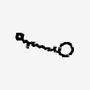 O=C(/C=C/c1ccccc1)NCCSCCCNC(=O)OC1CCCCCCCCCCCC1